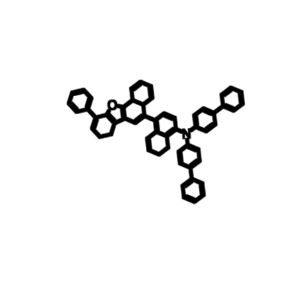 C1=CC2C(c3ccc(N(c4ccc(-c5ccccc5)cc4)c4ccc(-c5ccccc5)cc4)c4c3C=CCC4)=Cc3c(oc4c3CCC=C4c3ccccc3)C2C=C1